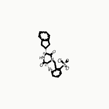 CC(C)[C@@H]1C(=O)N[C@H](C2Cc3ccccc3C2)C(=O)N1Cc1ccccc1S(=O)(=O)Cl